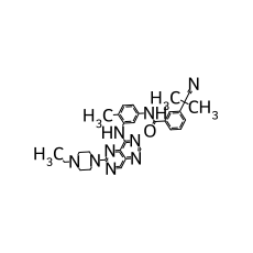 CCN1CCN(c2ncc3ncnc(Nc4cc(NC(=O)c5cccc(C(C)(C)C#N)c5)ccc4C)c3n2)CC1